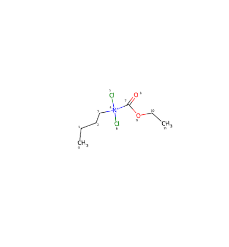 CCCC[N+](Cl)(Cl)C(=O)OCC